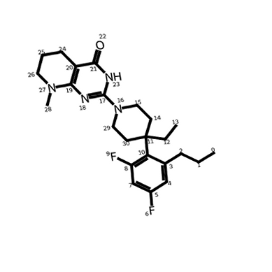 CCCc1cc(F)cc(F)c1C1(CC)CCN(c2nc3c(c(=O)[nH]2)CCCN3C)CC1